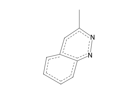 Cc1cc2ccccc2nn1